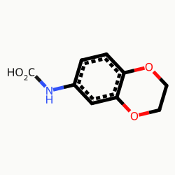 O=C(O)Nc1ccc2c(c1)OCCO2